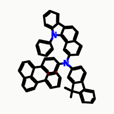 CC1(C)c2ccccc2-c2ccc(N(c3ccc(-c4cccc5cccc(-c6ccccc6)c45)cc3)c3ccc4ccc5c6ccccc6n(-c6ccccc6)c5c4c3)cc21